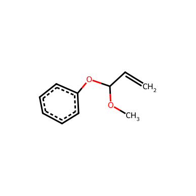 C=CC(OC)Oc1ccccc1